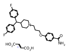 NC(=O)c1ccc(OCCCN2CCC(C(c3ccc(F)cc3)c3ccc(F)cc3)CC2)cc1.O=C(O)/C=C/C(=O)O